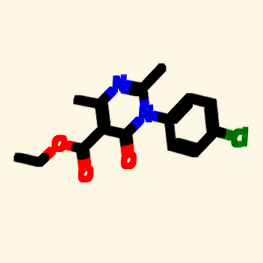 CCOC(=O)c1c(C)nc(C)n(-c2ccc(Cl)cc2)c1=O